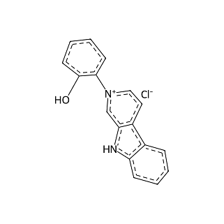 Oc1ccccc1-[n+]1ccc2c(c1)[nH]c1ccccc12.[Cl-]